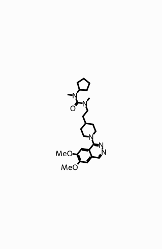 COc1cc2cnnc(N3CCC(CCN(C)C(=O)N(C)C4CCCC4)CC3)c2cc1OC